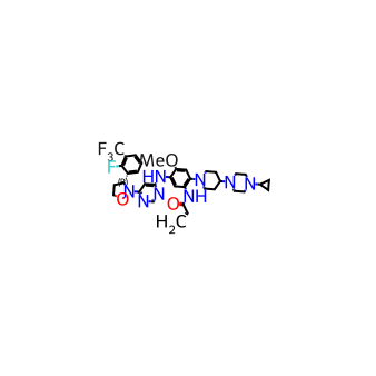 C=CC(=O)Nc1cc(Nc2cc(N3OCC[C@@H]3c3cccc(C(F)(F)F)c3F)ncn2)c(OC)cc1N1CCC(N2CCN(C3CC3)CC2)CC1